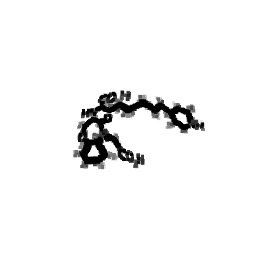 O=C(O)CN1C(=O)[C@@H](N[C@H](CCCCCCC2CCNCC2)C(=O)O)COc2ccccc21